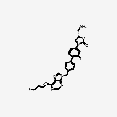 NC[C@H]1CN(c2ccc(-c3ccc(Cn4cnc5c(NCCCF)ncnc54)cc3)c(F)c2)C(=O)O1